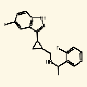 CC(NCC1CC1c1c[nH]c2ccc(F)cc12)c1ccccc1F